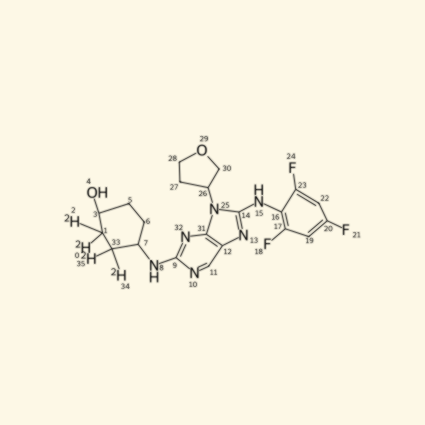 [2H]C1([2H])C(O)CCC(Nc2ncc3nc(Nc4c(F)cc(F)cc4F)n(C4CCOC4)c3n2)C1([2H])[2H]